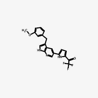 COc1cccc(Cc2c[nH]c3ncc(-c4ccc(C(=O)C(F)(F)F)[nH]4)cc23)c1